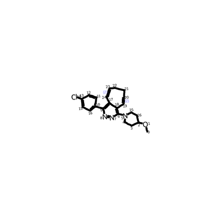 COC1CCN(c2nnc(-c3ccc(Cl)cc3)c3c2/C=C\CC/C=C\3)CC1